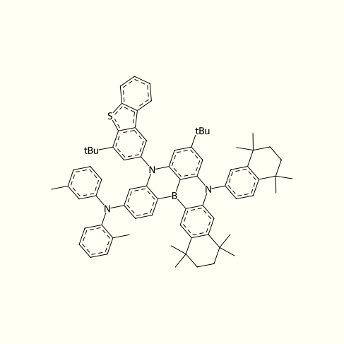 Cc1cccc(N(c2ccc3c(c2)N(c2cc(C(C)(C)C)c4sc5ccccc5c4c2)c2cc(C(C)(C)C)cc4c2B3c2cc3c(cc2N4c2ccc4c(c2)C(C)(C)CCC4(C)C)C(C)(C)CCC3(C)C)c2ccccc2C)c1